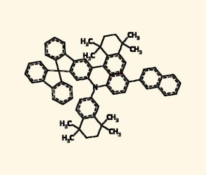 CC1(C)CCC(C)(C)c2cc(N(c3ccc(-c4ccc5ccccc5c4)cc3)c3cc4c(cc3-c3cccc5c3C(C)(C)CCC5(C)C)-c3ccccc3C43c4ccccc4-c4ccccc43)ccc21